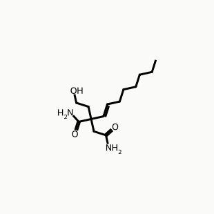 CCCCCCC=CC(CCO)(CC(N)=O)C(N)=O